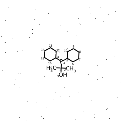 CC(C)(O)P(C1CCCCC1)C1CCCCC1